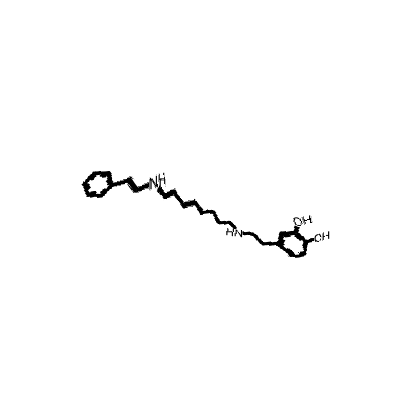 Oc1ccc(CCNCCCCCCCCNCCc2ccccc2)cc1O